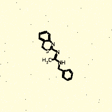 C/C(=N\C1=Nc2ccccc2CS1)NCc1ccccc1